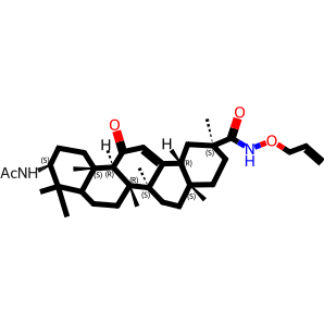 C=CCONC(=O)[C@@]1(C)CC[C@]2(C)CC[C@]3(C)C(=CC(=O)[C@@H]4[C@@]5(C)CC[C@H](NC(C)=O)C(C)(C)C5CC[C@]43C)[C@@H]2C1